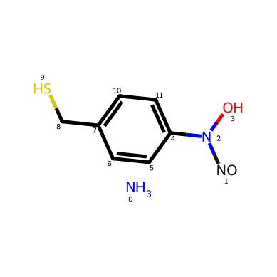 N.O=NN(O)c1ccc(CS)cc1